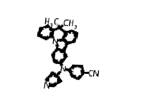 CC1(C)c2ccccc2-n2c3ccc(N(c4ccncc4)c4ccc(C#N)cc4)cc3c3cccc1c32